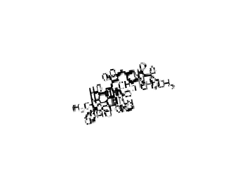 CCOC(=O)C1C(=O)N2C=C(/C=C3\C=C(C(CC4C5(CO5)C(NC(C)C(=O)N5CCOCC5)CC5[C@]4(C)CC[C@@H](O)[C@@]5(C)CO)NC(C)C(=O)NC4=NCC=N4)C(=O)O3)C=CC2N1C